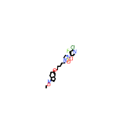 CCON=C1CCc2cc(OCCCCCN3CCN(c4ccnc(Cl)c4F)S3(=O)=O)ccc21